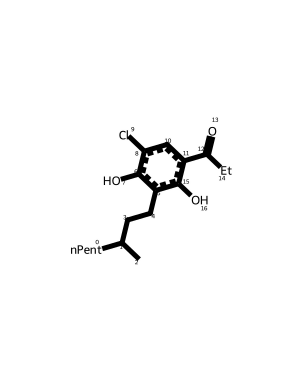 CCCCCC(C)CCc1c(O)c(Cl)cc(C(=O)CC)c1O